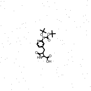 CC(C)(C)OC(=O)N(OC(C)(C)C)c1cc(CC2C(=O)NC2C(=O)O)ccn1